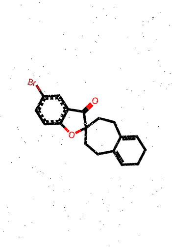 O=C1c2cc(Br)ccc2OC12CCC1=CCCC=C1CC2